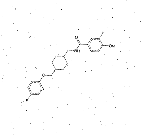 O=C(NCC1CCC(COc2ccc(F)cn2)CC1)c1ccc(O)c(F)c1